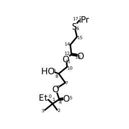 CCC(C)(C)C(=O)OCC(O)COC(=O)CCSC(C)C